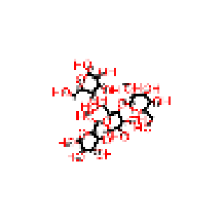 OCC1OC(OC2C(CO)OC(OC3C(CO)OC(O)C(O)C3O)C(O)C2O)C(O)C(O)C1O.OC[C@H]1OC(O)[C@H](O)[C@@H](O)[C@@H]1O